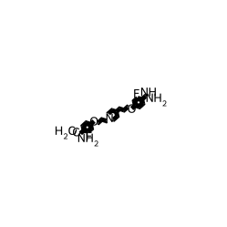 C=C=C(N)c1ccc(OCCCN2CCC(CCCOc3ccc(C(=N)N)c(F)c3)CC2)cc1F